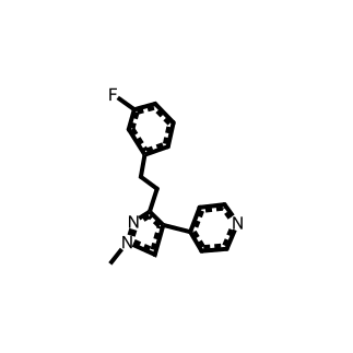 Cn1cc(-c2ccncc2)c(CCc2cccc(F)c2)n1